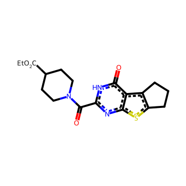 CCOC(=O)C1CCN(C(=O)c2nc3sc4c(c3c(=O)[nH]2)CCC4)CC1